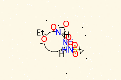 CC[C@H]1CC(=O)N2CC(=O)C[C@H]2C(=O)N[C@]2(C(=O)NS(=O)(=O)C3(C)CC3)C[C@@H]2/C=C\CC[C@@H](C)O1